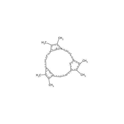 Cc1c(C)c2ccc3sc(ccc4sc(ccc1s2)c(C)c4C)c(C)c3C